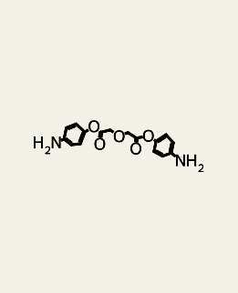 Nc1ccc(OC(=O)COCC(=O)Oc2ccc(N)cc2)cc1